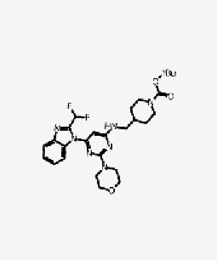 CC(C)(C)OC(=O)N1CCC(CNc2cc(-n3c(C(F)F)nc4ccccc43)nc(N3CCOCC3)n2)CC1